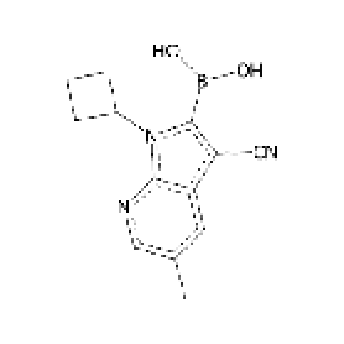 Cc1cnc2c(c1)c(C#N)c(B(O)O)n2C1CCC1